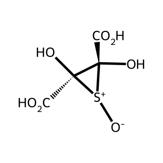 O=C(O)[C@@]1(O)[S+]([O-])[C@]1(O)C(=O)O